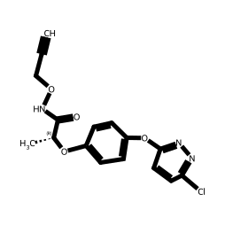 C#CCONC(=O)[C@@H](C)Oc1ccc(Oc2ccc(Cl)nn2)cc1